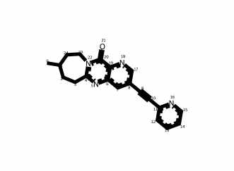 CC1CCc2nc3cc(C#Cc4ccccn4)cnc3c(=O)n2CC1